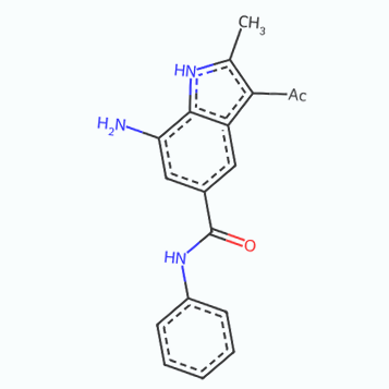 CC(=O)c1c(C)[nH]c2c(N)cc(C(=O)Nc3ccccc3)cc12